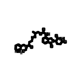 CC(COC(=O)Nc1cccc2c1CN(C1CCC(=O)NC1=O)C2=O)SSCCC(=O)N(CC(=O)O)Cc1ccccc1